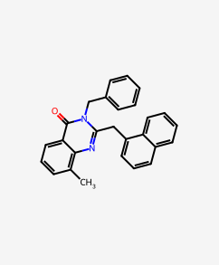 Cc1cccc2c(=O)n(Cc3ccccc3)c(Cc3cccc4ccccc34)nc12